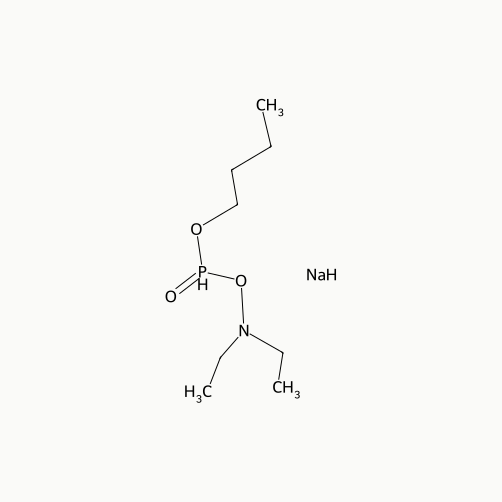 CCCCO[PH](=O)ON(CC)CC.[NaH]